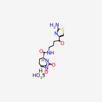 Nc1nc(C(=O)CCCNC(=O)[C@@H]2CC[C@H]3CN2C(=O)N3OS(=O)(=O)O)cs1